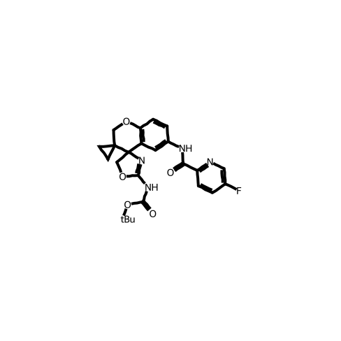 CC(C)(C)OC(=O)NC1=NC2(CO1)c1cc(NC(=O)c3ccc(F)cn3)ccc1OCC21CC1